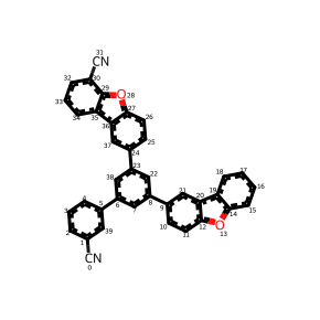 N#Cc1cccc(-c2cc(-c3ccc4oc5ccccc5c4c3)cc(-c3ccc4oc5c(C#N)cccc5c4c3)c2)c1